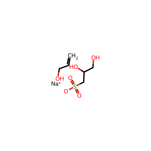 C=CCO.O=S(=O)([O-])CC(O)CO.[Na+]